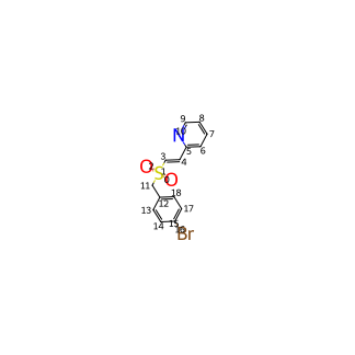 O=S(=O)(C=Cc1ccccn1)Cc1ccc(Br)cc1